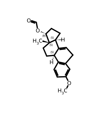 COc1ccc2c(c1)CC=C1[C@@H]2CC[C@]2(C)[C@H](OC=O)CC[C@@H]12